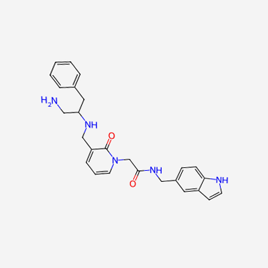 NCC(Cc1ccccc1)NCc1cccn(CC(=O)NCc2ccc3[nH]ccc3c2)c1=O